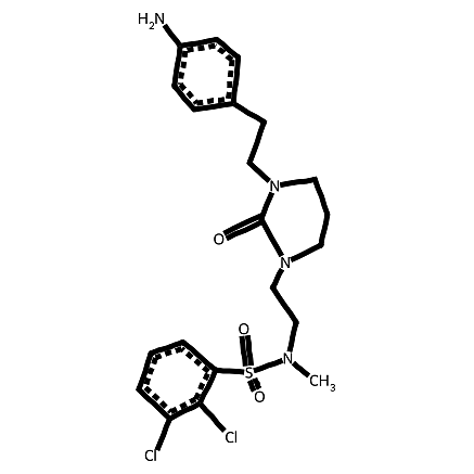 CN(CCN1CCCN(CCc2ccc(N)cc2)C1=O)S(=O)(=O)c1cccc(Cl)c1Cl